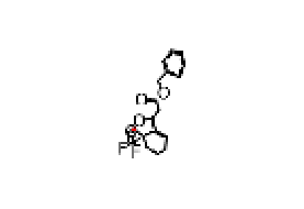 O=C(CC1OC(=O)[C@@]2(C(F)(F)F)CCCC=C12)OCc1ccccc1